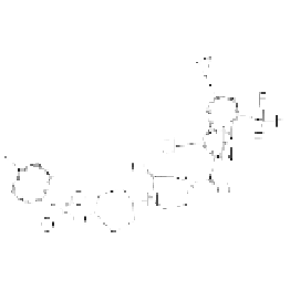 Cc1ccc(S(=O)(=O)OC2CCC(N3CCN(C(=O)c4nn5c(C(F)(F)F)cc(C6CC6)cc5c4Cl)CC3=O)CC2)cc1